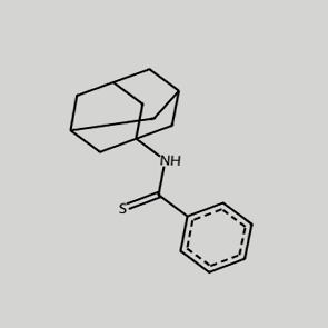 S=C(NC12CC3CC(CC(C3)C1)C2)c1ccccc1